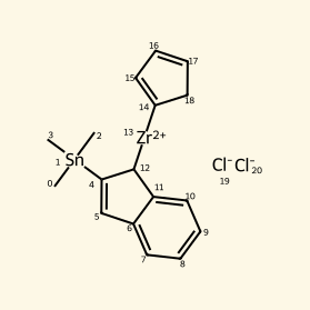 [CH3][Sn]([CH3])([CH3])[C]1=Cc2ccccc2[CH]1[Zr+2][C]1=CC=CC1.[Cl-].[Cl-]